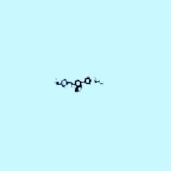 CCCCOc1ccc(-c2ccc(CCC3CCC(C=O)CO3)c(C(F)(F)F)c2F)cc1